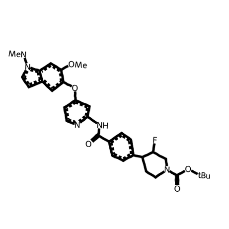 CNn1ccc2cc(Oc3ccnc(NC(=O)c4ccc(C5CCN(C(=O)OC(C)(C)C)CC5F)cc4)c3)c(OC)cc21